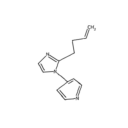 C=CCCc1nccn1-c1ccncc1